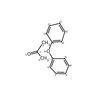 CC(C)=O.c1ccc(Oc2ccccc2)cc1